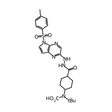 Cc1ccc(S(=O)(=O)n2ccc3nc(NNC(=O)C4CCC(N(C(=O)O)C(C)(C)C)CC4)cnc32)cc1